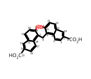 O=C(O)c1ccc2c(Cc3c(O)ccc4cc(C(=O)O)ccc34)c(O)ccc2c1